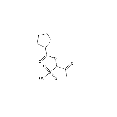 CC(=O)C(OC(=O)C1CCCC1)S(=O)(=O)O